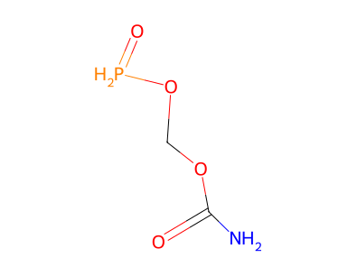 NC(=O)OCO[PH2]=O